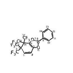 FC(F)(F)C1(C(F)(F)F)C=CC2=C(OB(c3ccccc3)O2)C1(C(F)(F)F)C(F)(F)F